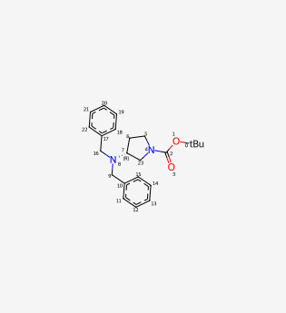 CC(C)(C)OC(=O)N1CC[C@@H](N(Cc2ccccc2)Cc2ccccc2)C1